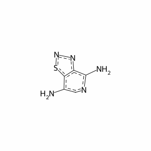 Nc1ncc(N)c2snnc12